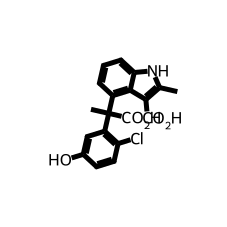 Cc1[nH]c2cccc(C(C)(C(=O)O)c3cc(O)ccc3Cl)c2c1C(=O)O